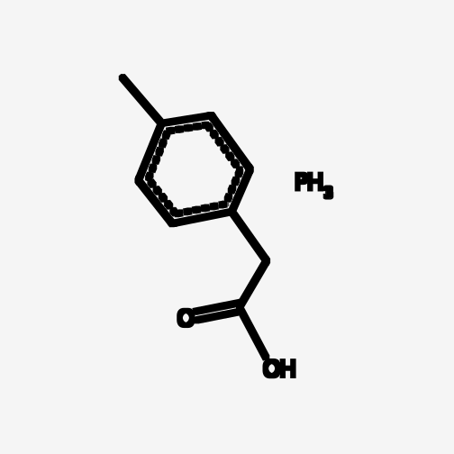 Cc1ccc(CC(=O)O)cc1.P